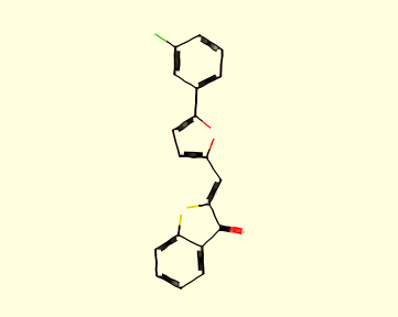 O=C1/C(=C/c2ccc(-c3cccc(Cl)c3)o2)Sc2ccccc21